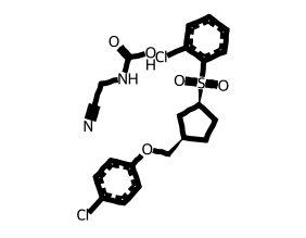 N#CCNC(=O)O.O=S(=O)(c1ccccc1Cl)[C@H]1CC[C@@H](COc2ccc(Cl)cc2)C1